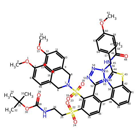 COc1ccc(CN(Cc2ccc(OC)cc2)S(=O)(=O)c2c(S(=O)(=O)CCNC(=O)OC(C)(C)C)ccc(-c3cccc4sc(NC(C)=O)nc34)c2-c2nnn(Cc3ccc(OC)cc3)n2)cc1